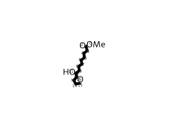 COC(=O)CCCCCCC[C@@H](O)C1CCCO1